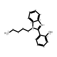 CCCCCn1c(-c2ccccc2O)nc2ccccc21